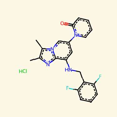 Cc1nc2c(NCc3c(F)cccc3F)cc(-n3ccccc3=O)cn2c1C.Cl